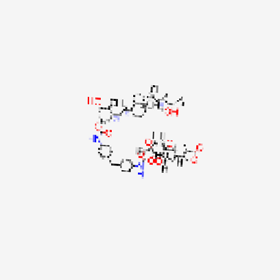 C=C1/C(=C\C=C2/CCC[C@@]3(C)C2CCC3[C@@H](C)/C=C/C(O)C2CC2)C[C@@H](OC(=O)Nc2ccc(Cc3ccc(NC(=O)O[C@@H]4[C@@]5(C(C)C)O[C@H]5[C@@H]5O[C@]56[C@]45O[C@H]5C[C@H]4C5=C(CC[C@@]46C)C(=O)OC5)cc3)cc2)C[C@@H]1O